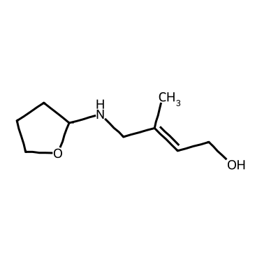 C/C(=C\CO)CN[C]1CCCO1